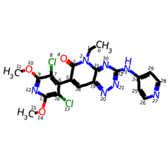 CCn1c(=O)c(-c2c(Cl)c(OC)nc(OC)c2Cl)cc2nnc(Nc3ccncc3)nc21